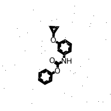 O=C(Nc1cccc(OC2CC2)c1)Oc1ccccc1